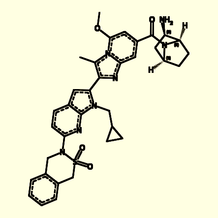 COc1cc(C(=O)N2[C@H]3CC[C@@H]2[C@H](N)C3)cc2nc(-c3cc4ccc(N5Cc6ccccc6CS5(=O)=O)nc4n3CC3CC3)c(C)n12